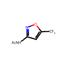 CC(=O)Nc1cc(C(F)(F)F)on1